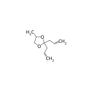 [CH2]C1COC(CC=C)(CC=C)O1